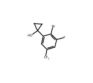 OC1(c2cc(C(F)(F)F)cc(F)c2Br)CC1